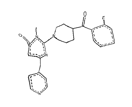 Cn1c(N2CCC(C(=O)c3ccccc3F)CC2)nc(-c2ccncc2)cc1=O